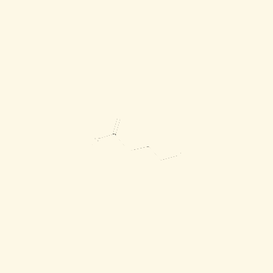 CC(=O)CCOC(N)=O